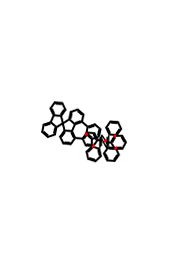 c1ccc(N(c2ccccc2)c2ccc(-c3cccc4c3-c3c(-c5ccc6c(c5)c5ccccc5n6-c5ccccc5)cccc3C43c4ccccc4-c4ccccc43)cc2)cc1